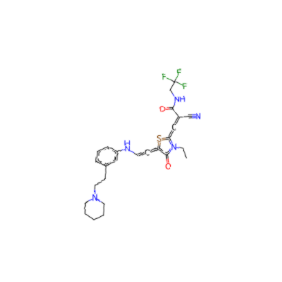 CCn1c(=C=C(C#N)C(=O)NCC(F)(F)F)sc(=C=CNc2cccc(CCN3CCCCC3)c2)c1=O